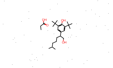 CC(C)CCCC(CO)c1cc(C(C)(C)C)c(O)c(C(C)(C)C)c1.CCC(=O)O